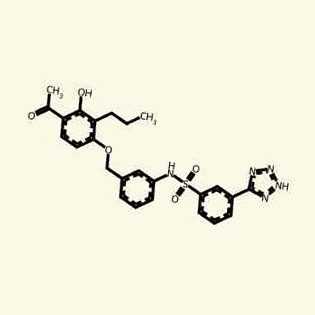 CCCc1c(OCc2cccc(NS(=O)(=O)c3cccc(-c4nn[nH]n4)c3)c2)ccc(C(C)=O)c1O